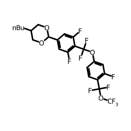 CCCCC1COC(c2cc(F)c(C(F)(F)Oc3ccc(C(F)(F)OC(F)(F)F)c(F)c3)c(F)c2)OC1